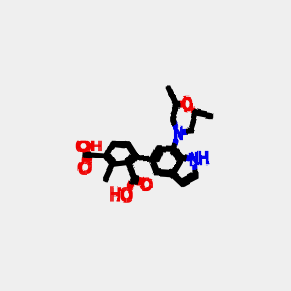 Cc1c(C(=O)O)ccc(-c2cc(N3CC(C)OC(C)C3)c3[nH]ccc3c2)c1C(=O)O